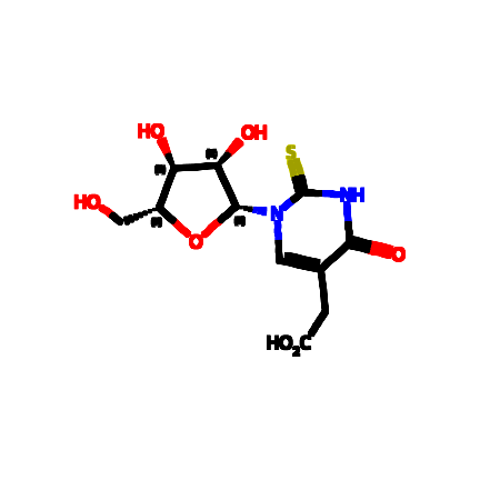 O=C(O)Cc1cn([C@@H]2O[C@H](CO)[C@@H](O)[C@H]2O)c(=S)[nH]c1=O